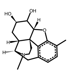 Cc1ccc2c3c1O[C@H]1C(O)[C@H](O)C[C@H]4[C@H](C2)N(C)CC[C@]314